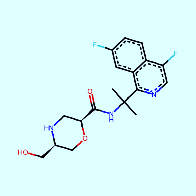 CC(C)(NC(=O)[C@@H]1CN[C@H](CO)CO1)c1ncc(F)c2ccc(F)cc12